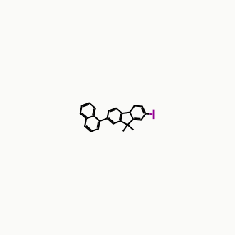 CC1(C)C2=CC(I)=CCC2c2ccc(-c3cccc4ccccc34)cc21